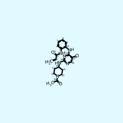 C=CC(=O)Nc1ccccc1Nc1nc(NC2CCN(C(C)=O)CC2)ncc1Cl